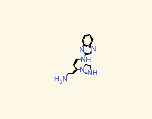 NC/C=C(\C=C/Nc1cnc2ccccc2n1)N1CCNC1